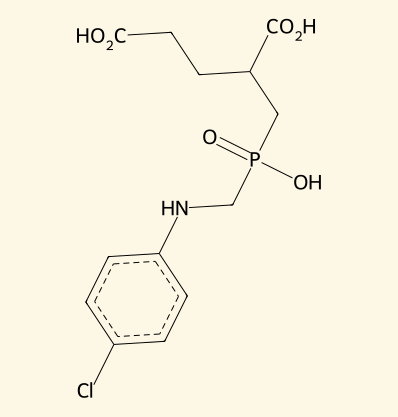 O=C(O)CCC(CP(=O)(O)CNc1ccc(Cl)cc1)C(=O)O